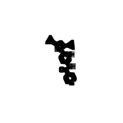 C=C(/C=C\C(=N)n1nc(C2CC2)cc1C1CC1)NC(=O)c1ccncc1